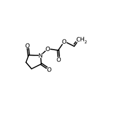 C=COC(=O)ON1C(=O)CCC1=O